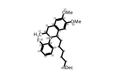 CCCCCCCCCCCCCCCC1c2cc(OC)c(OC)cc2CC(C)N1c1ccccc1F